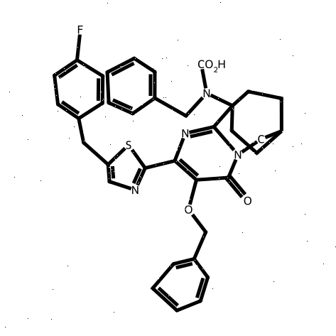 O=C(O)N(Cc1ccccc1)C12CCC(CC1)Cn1c2nc(-c2ncc(Cc3ccc(F)cc3)s2)c(OCc2ccccc2)c1=O